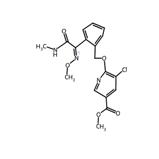 CNC(=O)/C(=N\OC)c1ccccc1COc1ncc(C(=O)OC)cc1Cl